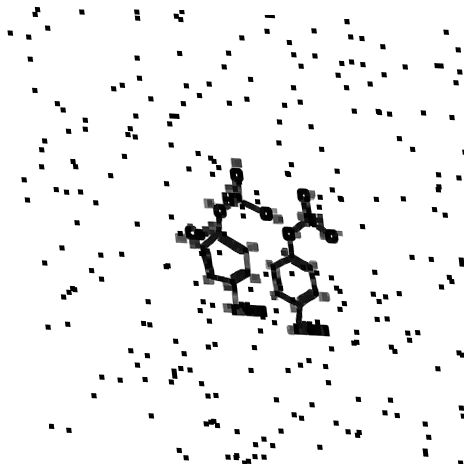 CCCCCCCCCc1ccc(O[PH](=O)[O-])cc1.CCCCCCCCCc1ccc(O[PH](=O)[O-])cc1.[Co+2]